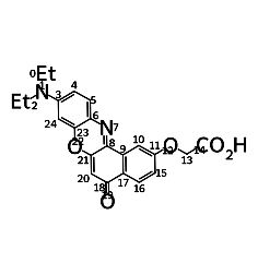 CCN(CC)c1ccc2nc3c4cc(OCC(=O)O)ccc4c(=O)cc-3oc2c1